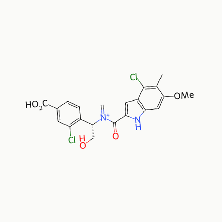 C=[N+](C(=O)c1cc2c(Cl)c(C)c(OC)cc2[nH]1)[C@H](CO)c1ccc(C(=O)O)cc1Cl